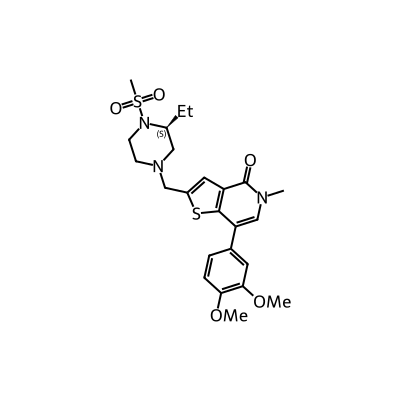 CC[C@H]1CN(Cc2cc3c(=O)n(C)cc(-c4ccc(OC)c(OC)c4)c3s2)CCN1S(C)(=O)=O